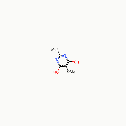 COc1c(O)nc(SC)nc1O